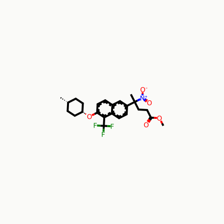 COC(=O)CCC(C)(c1ccc2c(C(F)(F)F)c(O[C@H]3CC[C@@H](C)CC3)ccc2c1)[N+](=O)[O-]